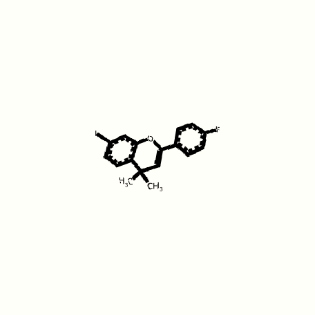 CC1(C)C=C(c2ccc(F)cc2)Oc2cc(I)ccc21